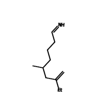 C=C(CC)CC(C)CCCC=N